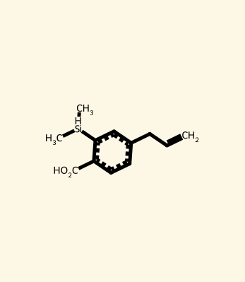 C=CCc1ccc(C(=O)O)c([SiH](C)C)c1